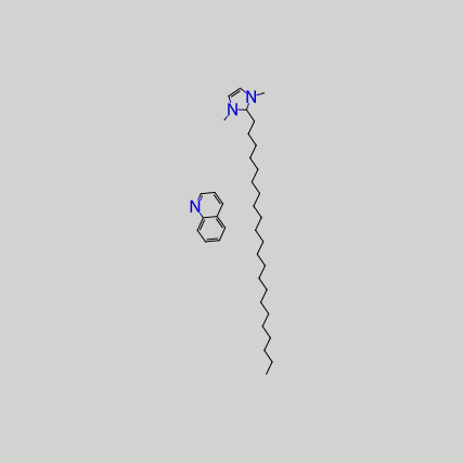 CCCCCCCCCCCCCCCCCCCCCCC1N(C)C=CN1C.c1ccc2ncccc2c1